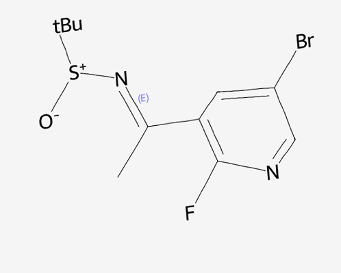 C/C(=N\[S+]([O-])C(C)(C)C)c1cc(Br)cnc1F